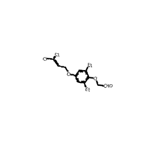 CCc1cc(OCC=C(Cl)Cl)cc(CC)c1OCC=O